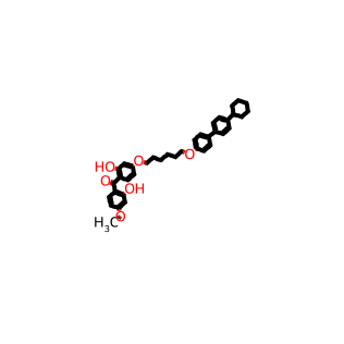 COc1ccc(C(=O)c2ccc(OCCCCCCOc3ccc(-c4ccc(C5CCCCC5)cc4)cc3)cc2O)c(O)c1